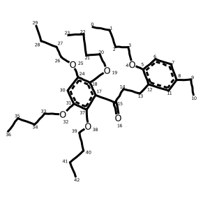 CCCCOc1ccc(CC)cc1CCC(=O)c1c(OCCCC)c(OCCCC)cc(OCCCC)c1OCCCC